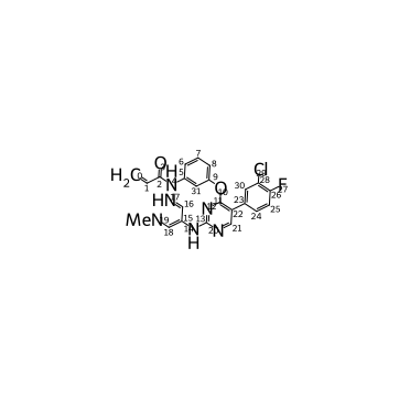 C=CC(=O)Nc1cccc(Oc2nc(N/C(C=N)=C/NC)ncc2-c2ccc(F)c(Cl)c2)c1